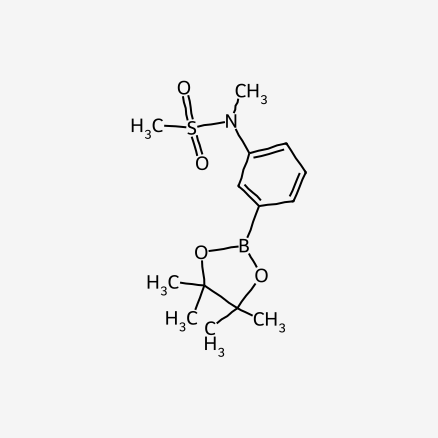 CN(c1cccc(B2OC(C)(C)C(C)(C)O2)c1)S(C)(=O)=O